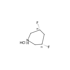 Cl.F[C@@H]1CNC[C@H](F)C1